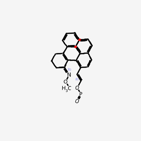 CO/N=C1\CCCC(c2ccccc2)=C1c1c(/C=C/OP=O)ccc2ccccc12